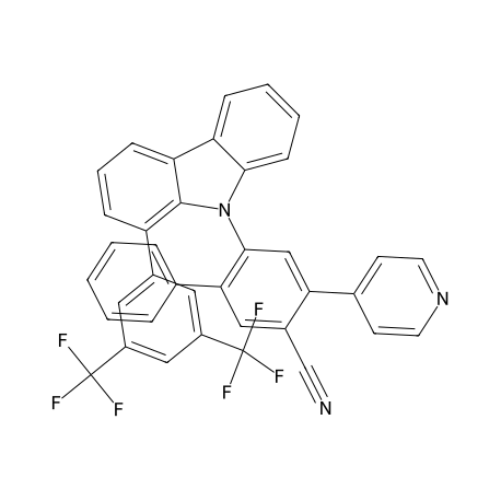 N#Cc1cc(-c2ccccc2)c(-n2c3ccccc3c3cccc(-c4cc(C(F)(F)F)cc(C(F)(F)F)c4)c32)cc1-c1ccncc1